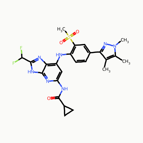 Cc1c(-c2ccc(Nc3cc(NC(=O)C4CC4)nc4[nH]c(C(F)F)nc34)c(S(C)(=O)=O)c2)nn(C)c1C